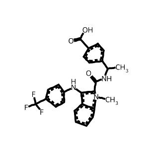 CC(NC(=O)c1c(Nc2ccc(C(F)(F)F)cc2)c2ccccc2n1C)c1ccc(C(=O)O)cc1